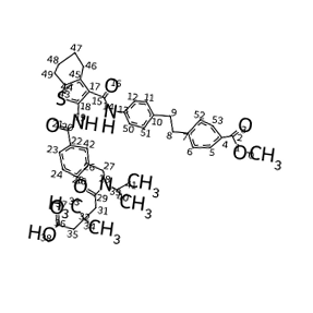 COC(=O)c1ccc(CCc2ccc(NC(=O)c3c(NC(=O)c4cccc(CN(C(=O)CC(C)(C)CC(=O)O)C(C)C)c4)sc4c3CCCC4)cc2)cc1